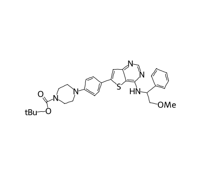 COCC(Nc1ncnc2cc(-c3ccc(N4CCN(C(=O)OC(C)(C)C)CC4)cc3)sc12)c1ccccc1